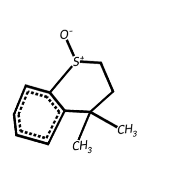 CC1(C)CC[S+]([O-])c2ccccc21